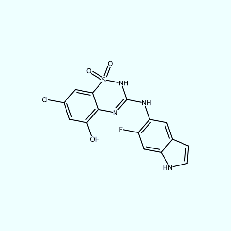 O=S1(=O)NC(Nc2cc3cc[nH]c3cc2F)=Nc2c(O)cc(Cl)cc21